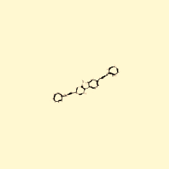 C(#Cc1ccc2c(c1)sc1cc(C#Cc3ccccc3)ccc12)c1ccccc1